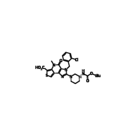 Cn1c(=O)c2c(nc(N3CCC[C@@H](NC(=O)OC(C)(C)C)C3)n2Cc2ccccc2Cl)c2csc(C(=O)O)c21